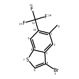 Cc1cc2c(Br)csc2cc1C(F)(F)F